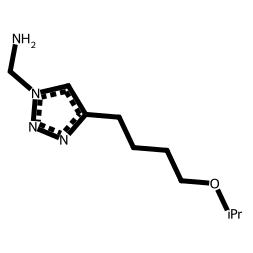 CC(C)OCCCCc1cn(CN)nn1